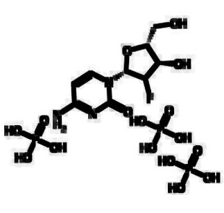 Nc1ccn([C@@H]2O[C@H](CO)[C@@H](O)C2F)c(=O)n1.O=P(O)(O)O.O=P(O)(O)O.O=P(O)(O)O